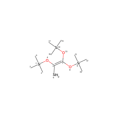 C[Si](C)(C)OC([SiH3])=C(O[Si](C)(C)C)O[Si](C)(C)C